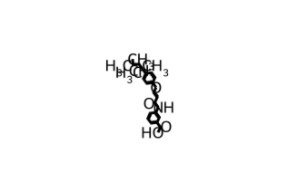 CC(C)(C)CC(C)(C)c1ccc(O/C=C/C(=O)Nc2cccc(C(=O)O)c2)cc1